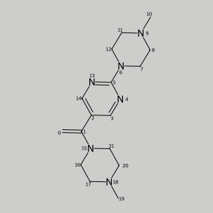 C=C(c1cnc(N2CCN(C)CC2)nc1)N1CCN(C)CC1